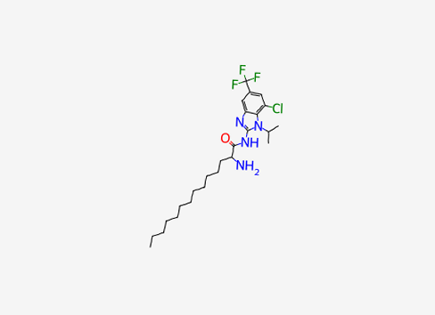 CCCCCCCCCCCCC(N)C(=O)Nc1nc2cc(C(F)(F)F)cc(Cl)c2n1C(C)C